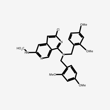 COc1ccc(CN(Cc2ccc(OC)cc2OC)c2nc(Cl)cc3cc(NC(=O)O)ncc23)c(OC)c1